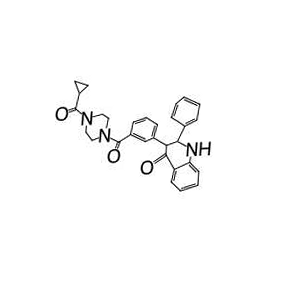 O=C1c2ccccc2NC(c2ccccc2)C1c1cccc(C(=O)N2CCN(C(=O)C3CC3)CC2)c1